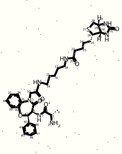 C[C@H](N)C(=O)N[C@@H]1C(=O)N(CC(=O)NCCCCCNC(=O)CCCC[C@@H]2SC[C@@H]3NC(=O)N[C@@H]32)c2ccccc2O[C@@H]1c1ccccc1